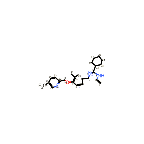 C=CN/C(=N\CC/C=C\C(OCc1ccc(C(F)(F)F)cn1)=C(C)C)C1CCCCC1